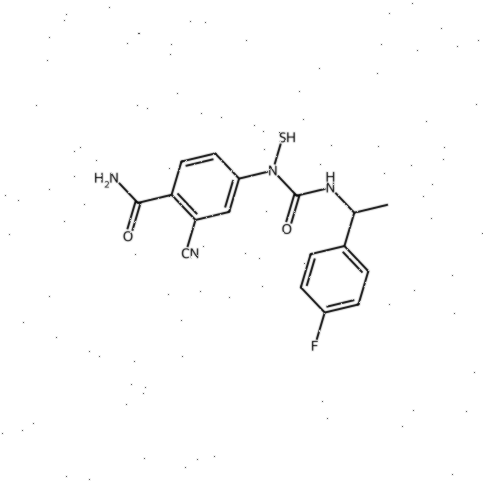 CC(NC(=O)N(S)c1ccc(C(N)=O)c(C#N)c1)c1ccc(F)cc1